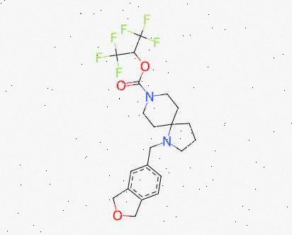 O=C(OC(C(F)(F)F)C(F)(F)F)N1CCC2(CCCN2Cc2ccc3c(c2)COC3)CC1